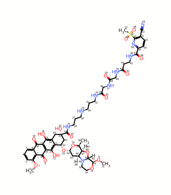 COc1cccc2c1C(=O)c1c(O)c3c(c(O)c1C2=O)C[C@@](O)(C(=O)NCCCNCCCNC(=O)CNC(=O)CNC(=O)CCNC(=O)c1ccc(C#N)c(S(C)(=O)=O)n1)C[C@@H]3O[C@H]1C[C@H]2[C@H](O[C@@H]3[C@@H](OC)OCCN32)[C@H](C)O1